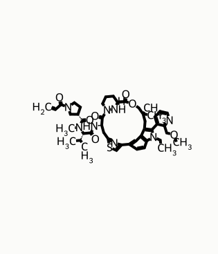 C=CC(=O)N1CC[C@H](C(=O)N(C)[C@H](C(=O)N[C@H]2Cc3nc(cs3)-c3ccc4c(c3)c(c(-c3cccnc3COC)n4CC)CC(C)(C)COC(=O)[C@@H]3CCCN(N3)C2=O)C(C)C)C1